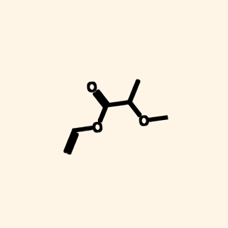 C=COC(=O)C(C)OC